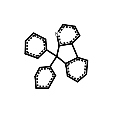 c1ccc(C2(c3ccccc3)c3ccccc3-c3cccnc32)cc1